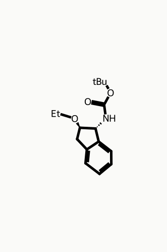 CCO[C@@H]1Cc2ccccc2[C@H]1NC(=O)OC(C)(C)C